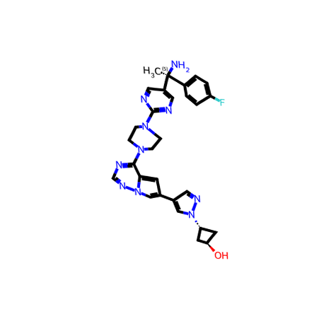 C[C@](N)(c1ccc(F)cc1)c1cnc(N2CCN(c3ncnn4cc(-c5cnn([C@H]6C[C@H](O)C6)c5)cc34)CC2)nc1